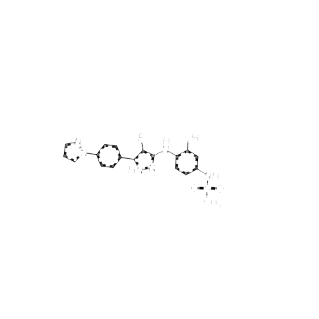 Cc1cc(NS(C)(=O)=O)ccc1Nc1n[nH]c(-c2ccc(-n3cccn3)cc2)c1F